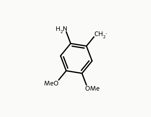 [CH2]c1cc(OC)c(OC)cc1N